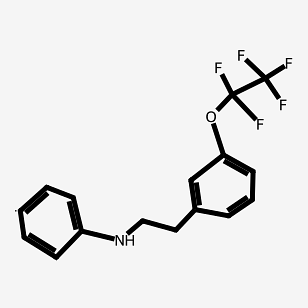 FC(F)(F)C(F)(F)Oc1cccc(CCNc2cc[c]cc2)c1